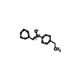 CCc1ccc(/[N+]([O-])=C/c2ccccc2)cc1